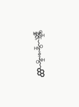 O=C(CCCC[C@@H]1SC[C@@H]2NC(=O)N[C@@H]21)NCCSSCCNC(=O)CCCc1ccc2ccc3cccc4ccc1c2c34